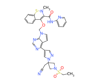 CCS(=O)(=O)N1CC(CC#N)(n2cc(-c3ncnc4c3ccn4COC3=C(C(=O)Nc4ccccn4)N(C)Sc4ccccc43)cn2)C1